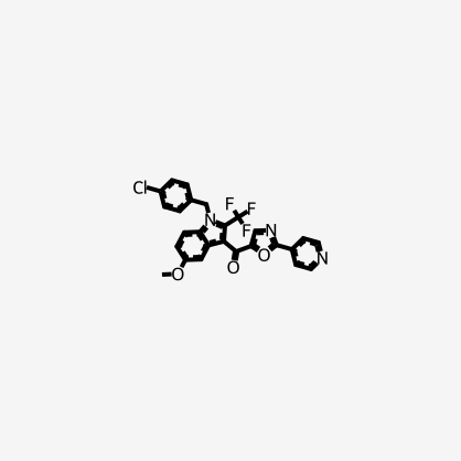 COc1ccc2c(c1)c(C(=O)c1cnc(-c3ccncc3)o1)c(C(F)(F)F)n2Cc1ccc(Cl)cc1